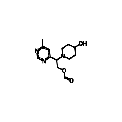 Cc1cc(C(COC=O)N2CCC(O)CC2)ncn1